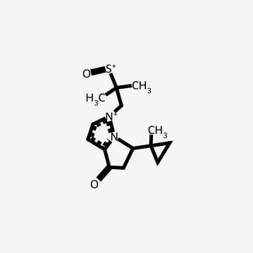 CC(C)(C[n+]1ccc2n1C(C1(C)CC1)CC2=O)[S+]=O